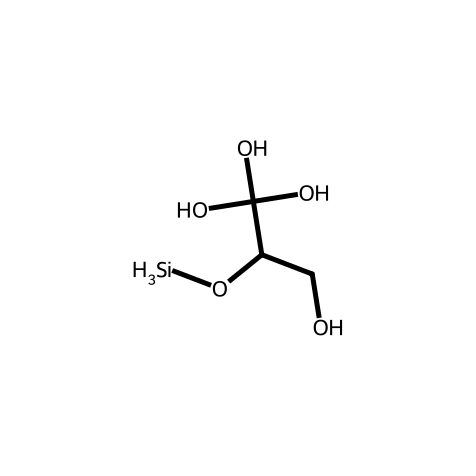 OCC(O[SiH3])C(O)(O)O